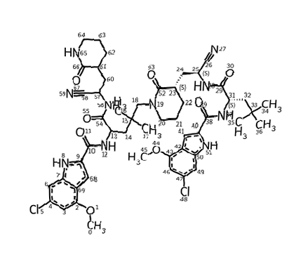 COc1cc(Cl)cc2[nH]c(C(=O)NC(CC(C)(C)CN3CCC[C@@H](C[C@@H](C#N)NC(=O)[C@H](CC(C)(C)C)NC(=O)c4cc5c(OC)cc(Cl)cc5[nH]4)C3=O)C(=O)NC(C#N)CC3CCCNC3=O)cc12